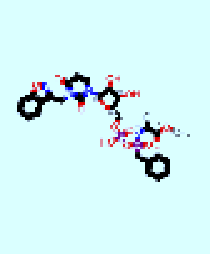 COC(=O)C(C)NP(=O)(Cc1ccccc1)OP(=O)(O)OC[C@H]1O[C@@H](n2ccc(=O)n(Cc3noc4ccccc34)c2=O)C(O)[C@H]1O